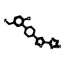 FCc1ccc(Cl)c(N2CCN(c3cc(-c4nn[nH]n4)on3)CC2)c1